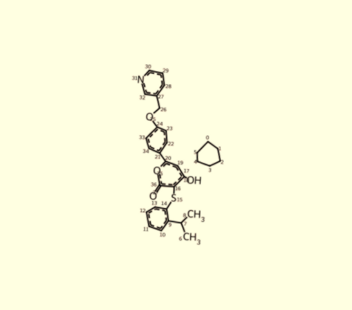 C1CCCCC1.CC(C)c1ccccc1Sc1c(O)cc(-c2ccc(OCc3cccnc3)cc2)oc1=O